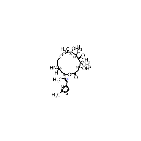 C/C(=C\c1csc(C)n1)[C@@H]1C[C@@H]2NC2CCCC(C)[C@H](O)[C@@H](C)C(=O)C(C)(C)[C@@H](O)CC(=O)O1